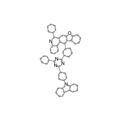 c1ccc(-c2nc(-c3ccc(-n4c5ccccc5c5ccccc54)cc3)nc(-c3cccc(-c4c5c(cc6c(-c7ccccc7)nc7ccccc7c46)oc4ccccc45)c3)n2)cc1